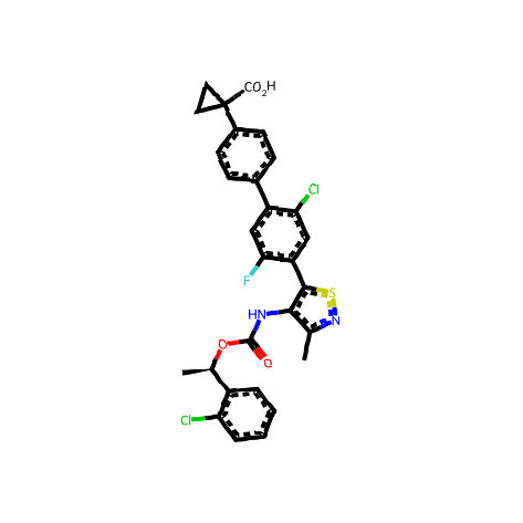 Cc1nsc(-c2cc(Cl)c(-c3ccc(C4(C(=O)O)CC4)cc3)cc2F)c1NC(=O)O[C@H](C)c1ccccc1Cl